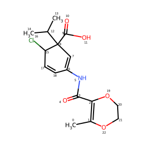 CC1=C(C(=O)NC2=CC(C(=O)O)(C(C)C)C(Cl)C=C2)OCCO1